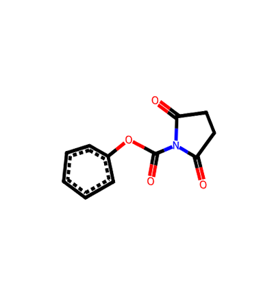 O=C1CCC(=O)N1C(=O)Oc1ccccc1